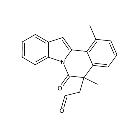 Cc1cccc2c1-c1cc3ccccc3n1C(=O)C2(C)CC=O